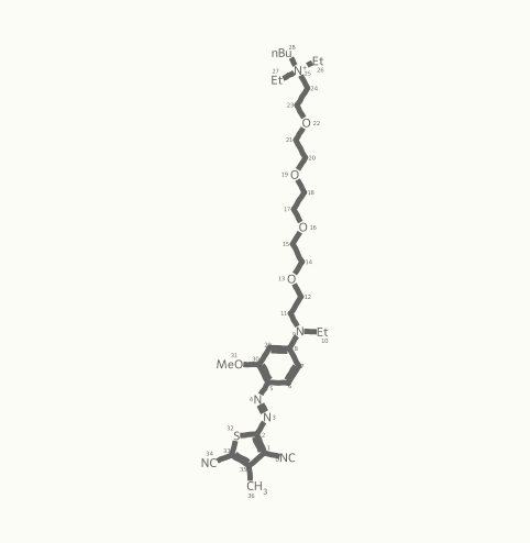 [C-]#[N+]c1c(/N=N/c2ccc(N(CC)CCOCCOCCOCCOCC[N+](CC)(CC)CCCC)cc2OC)sc(C#N)c1C